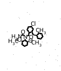 COc1cccc(OC)c1N(C(N)=O)c1oc(-c2ccccc2C)c2cc(Cl)ccc12